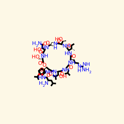 CC[C@H](C)[C@@H]1NC(=O)[C@@H](CCCNC(=N)N)NC(=O)[C@H](CC(C)C)NC(=O)[C@H]([C@H](O)C(C)C)NC(=O)[C@@H](NC(=O)[C@H](CC(C)C)NC(=O)[C@H](N)CC(C)C)[C@@H](c2ccccc2)OC(=O)[C@H](CO)NC(=O)[C@H]([C@H](O)C(N)=O)NC(=O)CNC(=O)[C@H]([C@H](C)O)NC1=O